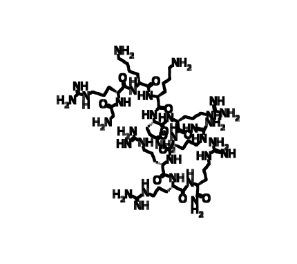 N=C(N)NCCC[C@H](NC(=O)[C@H](CCCNC(=N)N)NC(=O)[C@H](CCCNC(=N)N)NC(=O)[C@H](CCCNC(=N)N)NC(=O)[C@H](CCCNC(=N)N)NC(=O)[C@H](CCC(N)=O)NC(=O)[C@H](CCCCN)NC(=O)[C@H](CCCCN)NC(=O)[C@H](CCCNC(=N)N)NC(=O)CN)C(N)=O